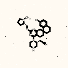 CN1CCC[C@H]1COc1nc2c(c(N3CCNC[C@@H]3CC#N)n1)CCC1(CCCc3ccc(O)cc31)C2